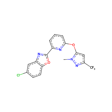 Cn1nc(C(F)(F)F)cc1Oc1cccc(-c2nc3cc(Cl)ccc3o2)n1